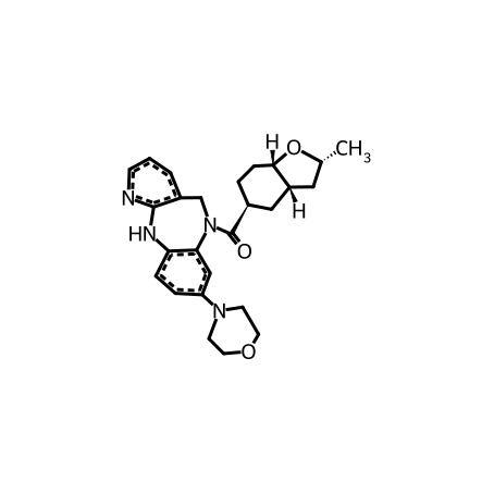 C[C@@H]1C[C@@H]2C[C@@H](C(=O)N3Cc4cccnc4Nc4ccc(N5CCOCC5)cc43)CC[C@@H]2O1